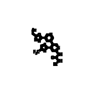 CCNC(=O)Nc1cc(-c2nc(C(F)(F)F)cs2)c(-c2cncc(-c3nnc(CC(C)=O)o3)c2)cn1